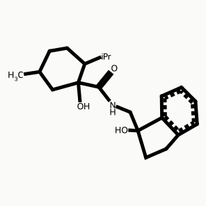 CC1CCC(C(C)C)C(O)(C(=O)NCC2(O)CCc3ccccc32)C1